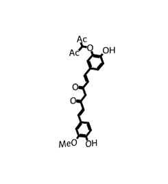 COc1cc(/C=C/C(=O)CC(=O)/C=C/c2ccc(O)c(OC(C(C)=O)C(C)=O)c2)ccc1O